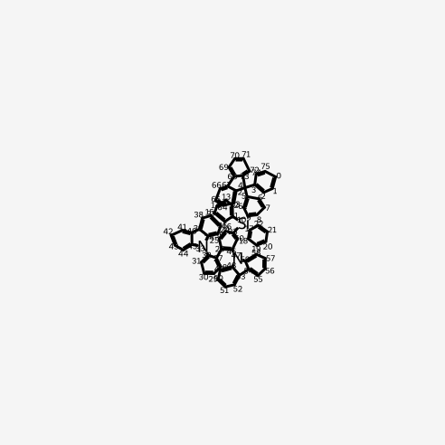 c1ccc(C2(c3cccc([Si](c4ccccc4)(c4ccccc4)c4ccc(-c5ccccc5-n5c6ccccc6c6ccccc65)c(-n5c6ccccc6c6ccccc65)c4)c3)c3ccccc3-c3ccccc32)cc1